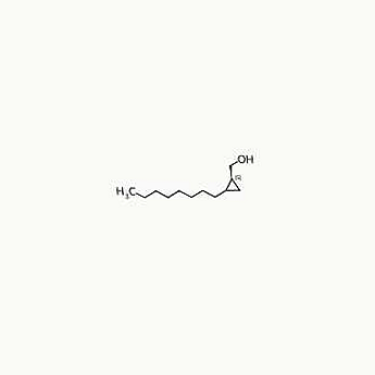 CCCCCCCCC1C[C@@H]1CO